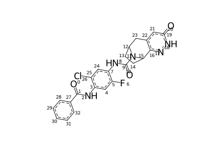 O=C(Nc1cc(F)c(NC(=O)N2C3CCC2c2n[nH]c(=O)cc2C3)cc1Cl)c1ccccc1